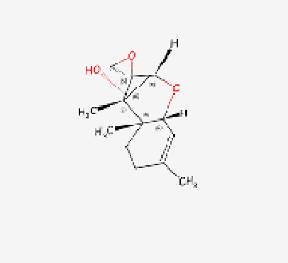 CC1=C[C@H]2O[C@@H]3C[C@@H](O)[C@](C)([C@@]2(C)CC1)[C@]31CO1